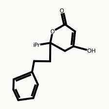 CC(C)C1(CCc2ccccc2)CC(O)=CC(=O)O1